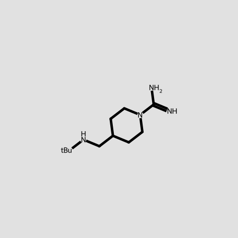 CC(C)(C)NCC1CCN(C(=N)N)CC1